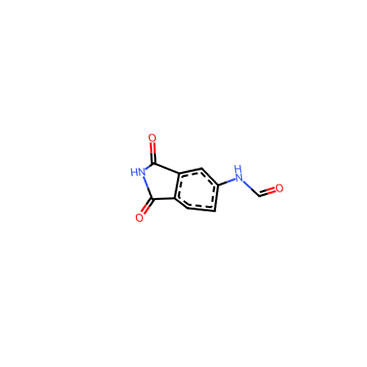 O=CNc1ccc2c(c1)C(=O)NC2=O